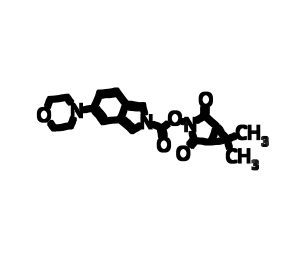 CC1(C)C2C(=O)N(OC(=O)n3cc4ccc(N5CCOCC5)cc4c3)C(=O)C21